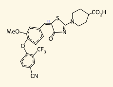 COc1cc(/C=C2/SC(N3CCC(C(=O)O)CC3)=NC2=O)ccc1Oc1ccc(C#N)cc1C(F)(F)F